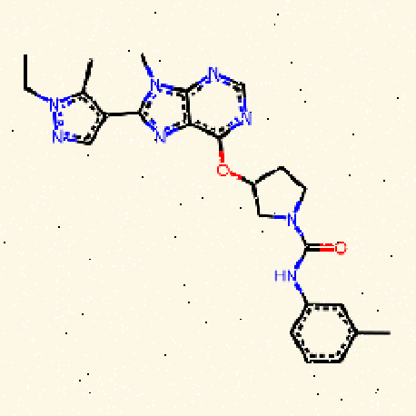 CCn1ncc(-c2nc3c(OC4CCN(C(=O)Nc5cccc(C)c5)C4)ncnc3n2C)c1C